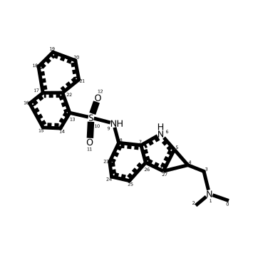 CN(C)CC1c2[nH]c3c(NS(=O)(=O)c4cccc5ccccc45)cccc3c21